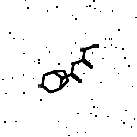 O=C(NO)OC(=O)N1C2CCC1CNC2